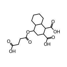 O=C(O)CCC(=O)OC1CC(C(=O)O)C(C(=O)O)C2CCCCC12